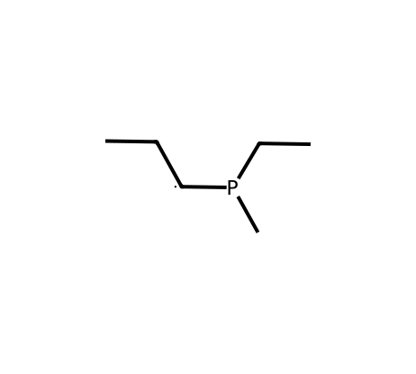 CC[CH]P(C)CC